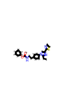 CCc1nc(-c2nccs2)cn1-c1ccc(CCNC(=O)Oc2ccccc2)cc1